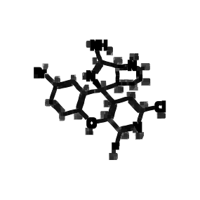 NC1=N[C@@]2(c3cc(Br)ccc3Oc3c2cc(Cl)nc3F)c2cccnc21